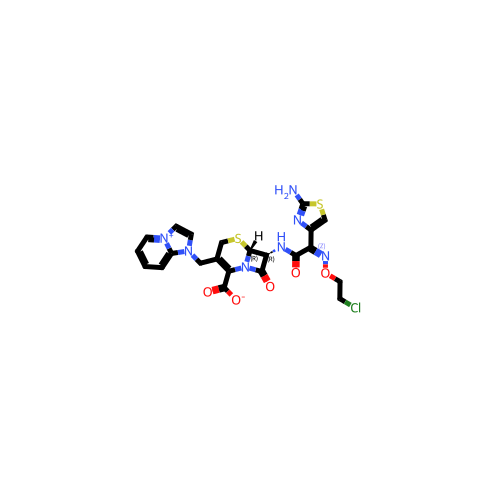 Nc1nc(/C(=N/OCCCl)C(=O)N[C@@H]2C(=O)N3C(C(=O)[O-])=C(Cn4cc[n+]5ccccc45)CS[C@H]23)cs1